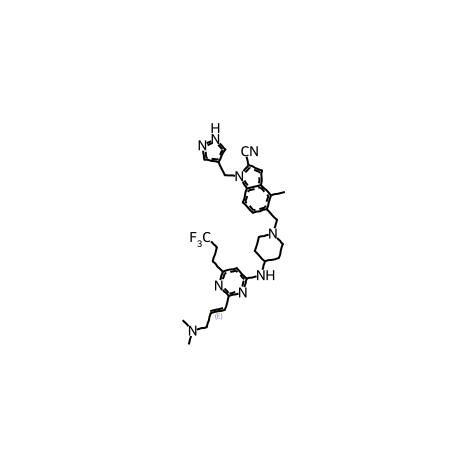 Cc1c(CN2CCC(Nc3cc(CCC(F)(F)F)nc(/C=C/CN(C)C)n3)CC2)ccc2c1cc(C#N)n2Cc1cn[nH]c1